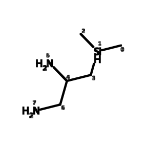 C[SiH](C)CC(N)CN